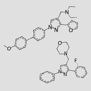 CCN(CC)Cc1cn(-c2ccc(-c3ccc(OC)cc3)cc2)nc1-c1ccco1.Fc1ccccc1-c1nn(-c2ccccc2)cc1CN1CCOCC1